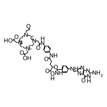 N=C(OC(CCC(=O)Nc1ccc(NC(=O)CN2CCN(CC=O)CCN(CC(=O)O)CCN(CC(=O)O)CC2)cc1)C(=O)O)c1ccc(NCc2cnc3nc(N)[nH]c(=O)c3n2)cc1